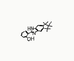 CC1(C)c2cc3nc(-c4ccccc4O)[nH]c3cc2C(C)(C)C1(C)C